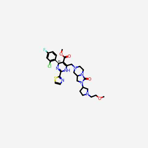 COCCN1CCC(N2CC3CN(CC4=C(C(=O)OC)[C@H](c5ccc(F)cc5Cl)N=C(c5nccs5)N4)CCN3C2=O)C1